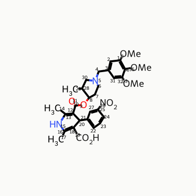 COc1cc(CN2CCC(OC(=O)C3=C(C)NC(C)=C(C(=O)O)C3c3cccc([N+](=O)[O-])c3)C(C)C2)cc(OC)c1OC